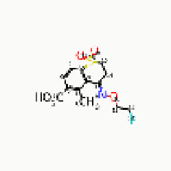 Cc1c(C(=O)O)ccc2c1/C(=N/OCCF)CCS2(=O)=O